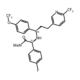 CNC(=O)[C@@H](N[C@H](CCc1ccc(C(F)(F)F)nc1)c1ccc(OC(F)(F)F)cc1)c1ccc(F)cc1